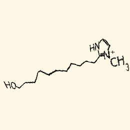 C[n+]1cc[nH]c1CCCCCCCCCCCO